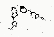 Cn1cc(CC(=O)Nc2ccc(-c3ncnn4cc(-c5cnn(C)c5)cc34)cc2)cn1